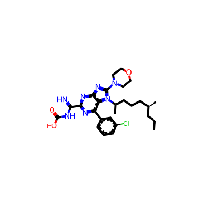 C=CC[C@H](C)CCCC(C)n1c(N2CCOCC2)nc2nc(C(=N)NC(=O)O)nc(-c3cccc(Cl)c3)c21